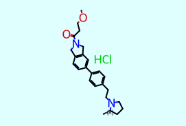 COCCC(=O)N1Cc2ccc(-c3ccc(CCN4CCC[C@H]4C)cc3)cc2C1.Cl